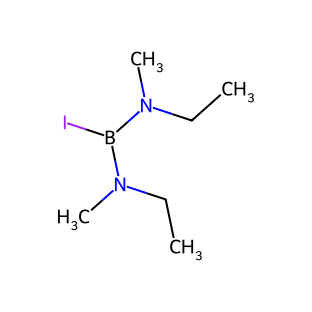 CCN(C)B(I)N(C)CC